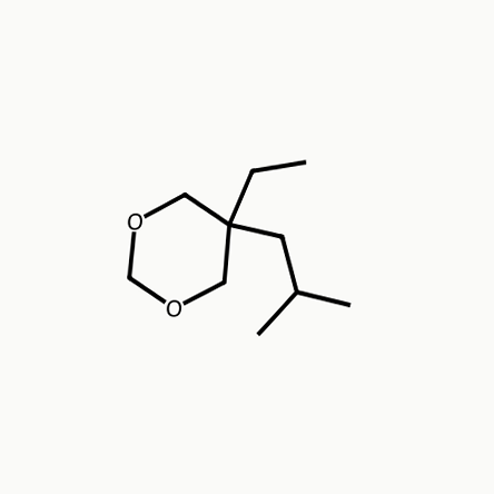 CCC1(CC(C)C)COCOC1